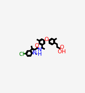 Cc1cc(Oc2ccc(CCC(=O)O)c(C)c2)cc(C(C)NC(=O)c2c(C)c3cc(Cl)ccc3n2C)c1